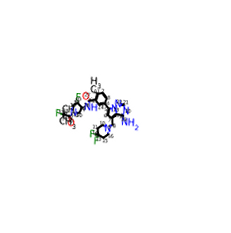 Cc1ccc(-c2cc(CN3CCC(F)(F)CC3)c3c(N)ncnn23)cc1C(=O)N[C@@H]1CN(C(=O)C(C)(C)F)C[C@@H]1F